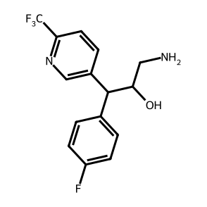 NCC(O)C(c1ccc(F)cc1)c1ccc(C(F)(F)F)nc1